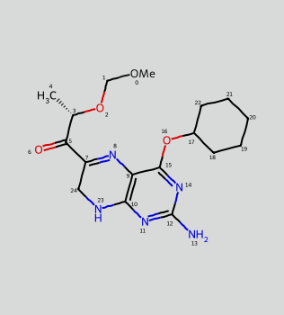 COCO[C@@H](C)C(=O)C1=Nc2c(nc(N)nc2OC2CCCCC2)NC1